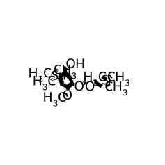 COc1c[c]([Sn]([CH3])([CH3])[CH3])c(CO)cc1OCOCC[Si](C)(C)C